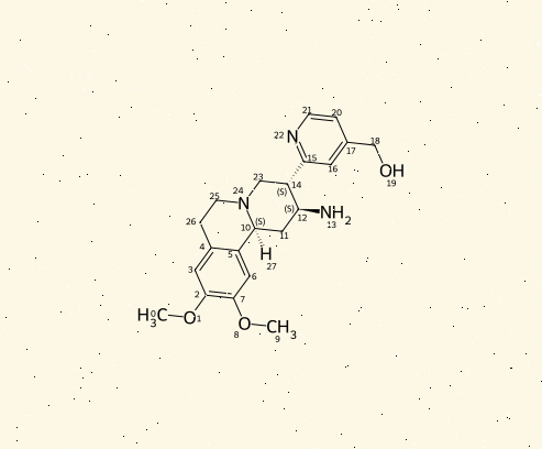 COc1cc2c(cc1OC)[C@@H]1C[C@H](N)[C@@H](c3cc(CO)ccn3)CN1CC2